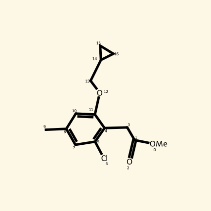 COC(=O)Cc1c(Cl)cc(C)cc1OCC1CC1